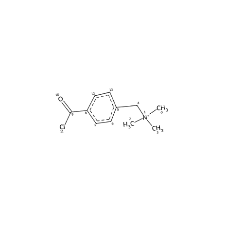 C[N+](C)(C)Cc1ccc(C(=O)Cl)cc1